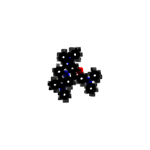 c1ccc(-c2cccc(-c3ccccc3)c2N2c3cc(N(c4ccccc4)c4ccccc4)ccc3B3c4ccc(N(c5ccccc5)c5ccccc5)cc4Oc4cc(-n5c6ccccc6c6ccccc65)cc2c43)cc1